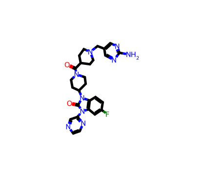 Nc1ncc(CN2CCC(C(=O)N3CCC(n4c(=O)n(-c5cnccn5)c5cc(F)ccc54)CC3)CC2)cn1